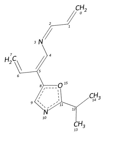 C=C/C=N\C=C(/C=C)c1cnc(C(C)C)o1